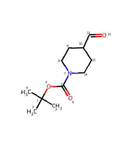 CC(C)(C)OC(=O)N1CCC([C]=O)CC1